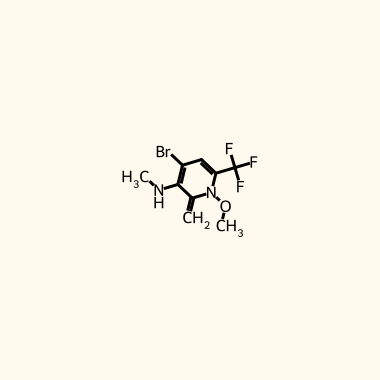 C=C1C(NC)=C(Br)C=C(C(F)(F)F)N1OC